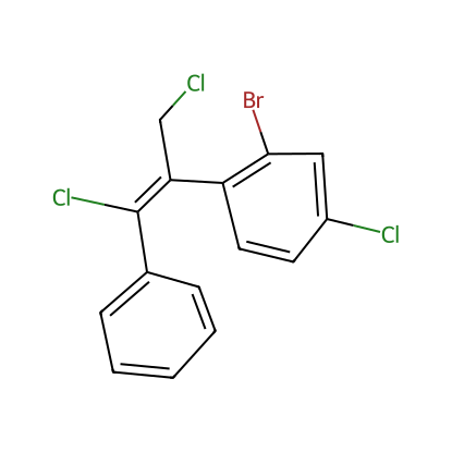 ClC/C(=C(\Cl)c1ccccc1)c1ccc(Cl)cc1Br